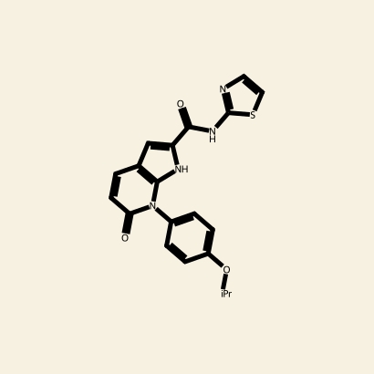 CC(C)Oc1ccc(-n2c(=O)ccc3cc(C(=O)Nc4nccs4)[nH]c32)cc1